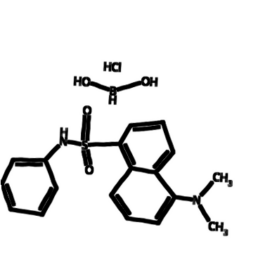 CN(C)c1cccc2c(S(=O)(=O)Nc3ccccc3)cccc12.Cl.OBO